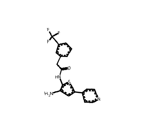 Nc1cc(-c2ccncc2)sc1NC(=O)Cc1cccc(C(F)(F)F)c1